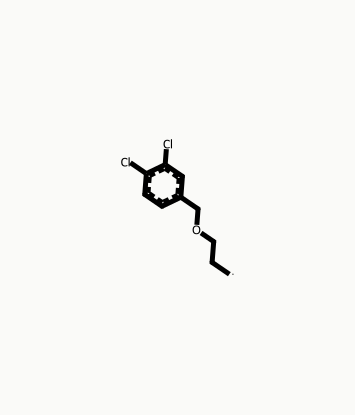 [CH2]CCOCc1ccc(Cl)c(Cl)c1